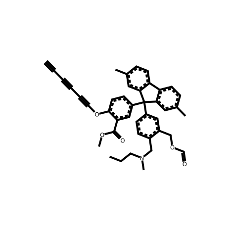 C#CC#CC#COc1ccc(C2(c3ccc(CN(C)CCC)c(COC=O)c3)c3cc(C)ccc3-c3ccc(C)cc32)cc1C(=O)OC